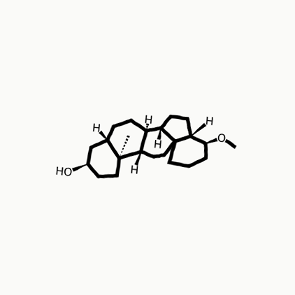 CO[C@H]1CCCC23CC[C@H]4[C@@H](CC[C@H]5C[C@H](O)CC[C@@]54C)[C@@H]2CC[C@H]13